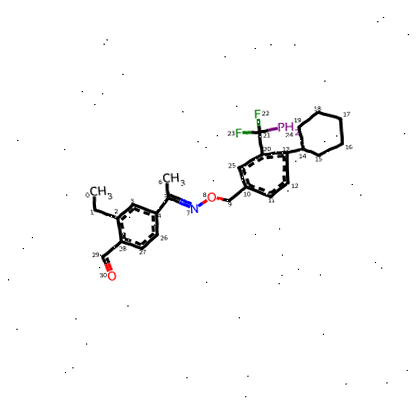 CCc1cc(/C(C)=N/OCc2ccc(C3CCCCC3)c(C(F)(F)P)c2)ccc1C=O